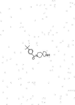 CC(C)(C)c1ccc(C(=O)N2CCC3(CCNC3)CC2)cc1